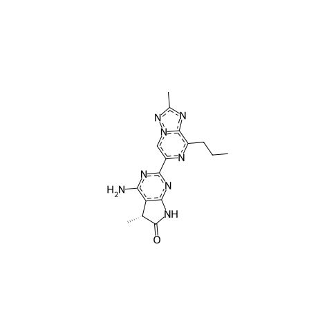 CCCc1nc(-c2nc(N)c3c(n2)NC(=O)[C@@H]3C)cn2nc(C)nc12